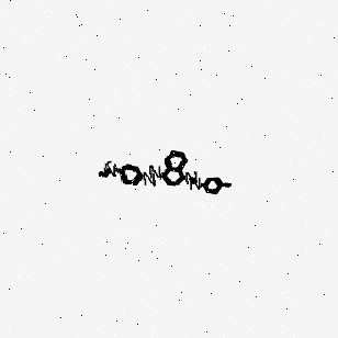 CCN(C)c1ccc(N=Nc2ccc(N=Nc3ccc(C)cc3)c3ccccc23)cc1